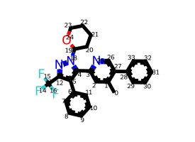 Cc1cc(-c2c(-c3ccccc3)c(C(F)(F)F)nn2C2CCCCO2)ncc1-c1ccccc1